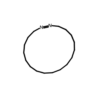 C1CCCCCCCCN=NCCCCCCCC1